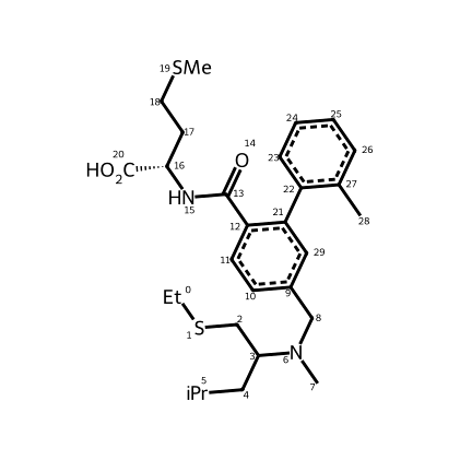 CCSCC(CC(C)C)N(C)Cc1ccc(C(=O)N[C@@H](CCSC)C(=O)O)c(-c2ccccc2C)c1